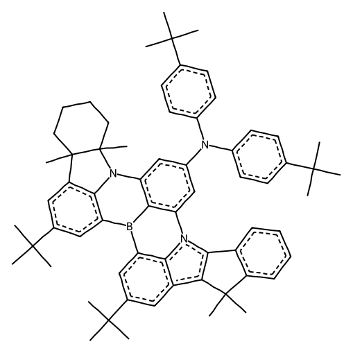 CC(C)(C)c1ccc(N(c2ccc(C(C)(C)C)cc2)c2cc3c4c(c2)-n2c5c(c6cc(C(C)(C)C)cc(c62)B4c2cc(C(C)(C)C)cc4c2N3C2(C)CCCCC42C)C(C)(C)c2ccccc2-5)cc1